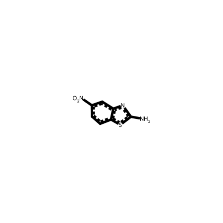 Nc1nc2cc([N+](=O)[O-])ccc2s1